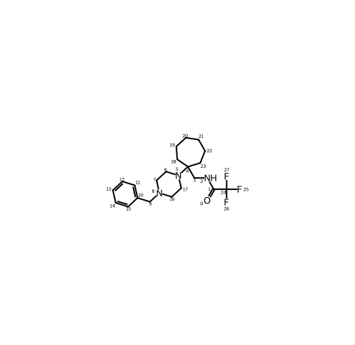 O=C(NCC1(N2CCN(Cc3ccccc3)CC2)CCCCCC1)C(F)(F)F